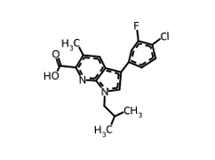 Cc1cc2c(-c3ccc(Cl)c(F)c3)cn(CC(C)C)c2nc1C(=O)O